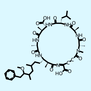 COC(Cc1ccccc1)C(C)CC(C)CC[C@@H]1NC(=O)[C@H](C)NC(=O)[C@@H](C)[C@H](C(=O)O)NC(=O)[C@H](CC(C)C)NC(=O)[C@@H](C)NC(=O)[C@H](C)N(C)C(=O)CC/C(C(=O)O)=N\C(=O)[C@H]1C